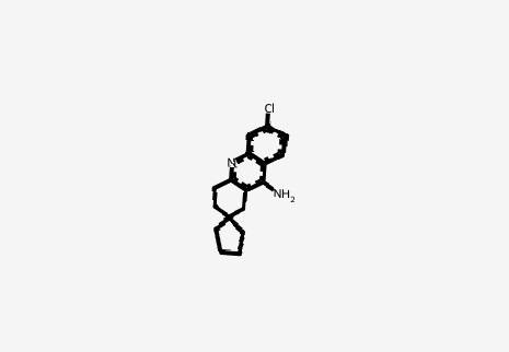 Nc1c2c(nc3cc(Cl)ccc13)CCC1(CCCC1)C2